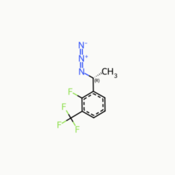 C[C@@H](N=[N+]=[N-])c1cccc(C(F)(F)F)c1F